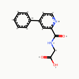 O=C(O)CNC(=O)c1cc(-c2ccccc2)ccn1